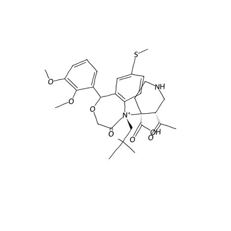 COc1cccc(C2OCC(=O)[N@@+](CC(C)(C)C)([C@@]3(C(=O)O)CCNC[C@@H]3C(C)=O)c3ccc(SC)cc32)c1OC